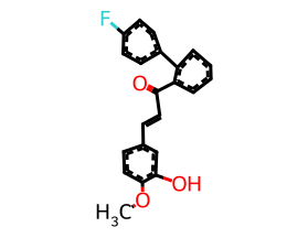 COc1ccc(C=CC(=O)c2ccccc2-c2ccc(F)cc2)cc1O